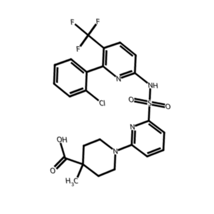 CC1(C(=O)O)CCN(c2cccc(S(=O)(=O)Nc3ccc(C(F)(F)F)c(-c4ccccc4Cl)n3)n2)CC1